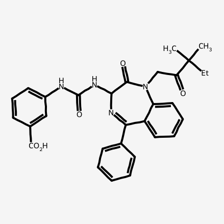 CCC(C)(C)C(=O)CN1C(=O)C(NC(=O)Nc2cccc(C(=O)O)c2)N=C(c2ccccc2)c2ccccc21